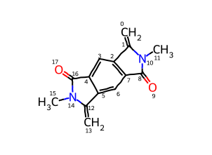 C=C1c2cc3c(cc2C(=O)N1C)C(=C)N(C)C3=O